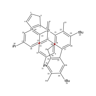 [CH2]=[Zr]([C]1=CC=CC1)([c]1ccc(C(C)C)cc1)([c]1ccc(C(C)C)cc1)[c]1c(C)c(C(C)(C)C)cc2c1Cc1cc(C)c(C(C)(C)C)cc1-2